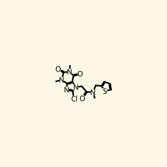 CN(Cc1cccs1)C(=O)Cn1c(Cl)nc2c1c(=O)n(C)c(=O)n2C